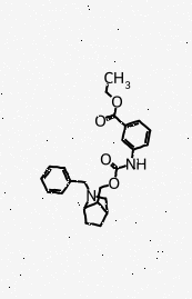 CCOC(=O)c1cccc(NC(=O)OCC2C3CCC2N(Cc2ccccc2)C3)c1